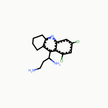 NCCC(N)c1c2c(nc3cc(Cl)cc(Cl)c13)CCCC2